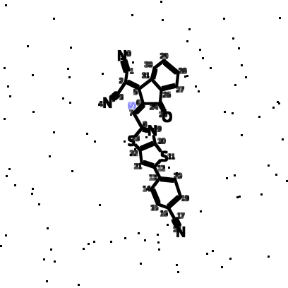 N#CC(C#N)=C1/C(=C/c2nc3sc(-c4ccc(C#N)cc4)cc3s2)C(=O)c2ccccc21